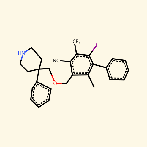 Cc1c(COCC2(c3ccccc3)CCNCC2)c(C#N)c(C(F)(F)F)c(I)c1-c1ccccc1